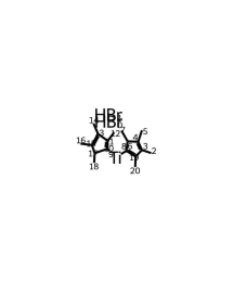 Br.Br.CC1=C(C)C(C)[C]([Ti][C]2=C(C)C(C)=C(C)C2C)=C1C